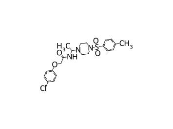 Cc1ccc(S(=O)(=O)N2CCN(C(C)NC(=O)COc3ccc(Cl)cc3)CC2)cc1